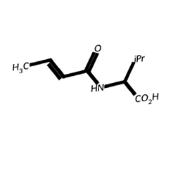 CC=CC(=O)NC(C(=O)O)C(C)C